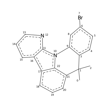 CC1(C)c2ccc(Br)cc2-n2c3ncccc3c3cccc1c32